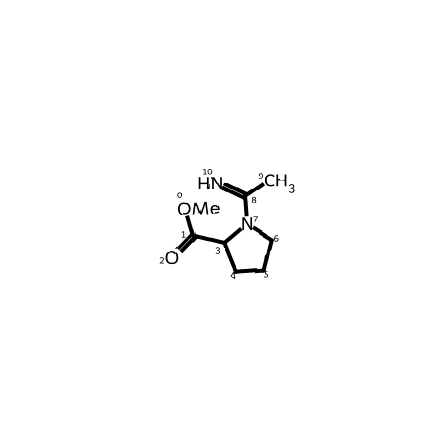 COC(=O)C1CCCN1C(C)=N